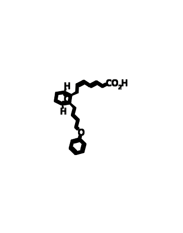 O=C(O)CC=C/C=C\C[C@H]1[C@@H](CCCCOc2ccccc2)[C@H]2CC[C@@H]1O2